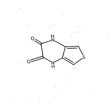 O=c1[nH]c2cscc2[nH]c1=O